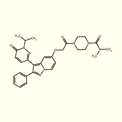 CC(C)n1nc(-c2c(-c3ccccc3)nn3ccc(OCC(=O)N4CCN(C(=O)N(C)C)CC4)cc23)ccc1=O